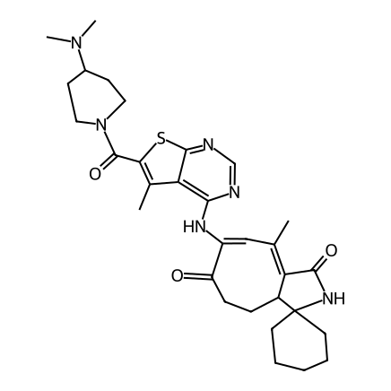 CC1=C2\C(=O)NC3(CCCCC3)C2CCC(=O)/C(Nc2ncnc3sc(C(=O)N4CCC(N(C)C)CC4)c(C)c23)=C\1